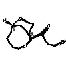 O=C(CBr)[C@@]12CO[C@@H](CCO1)C2